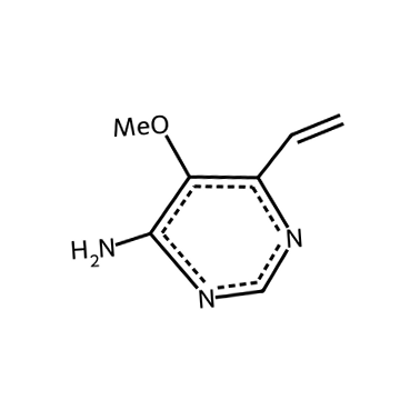 C=Cc1ncnc(N)c1OC